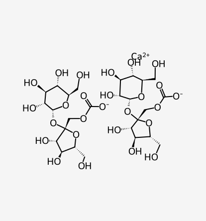 O=C([O-])OC[C@@]1(O[C@H]2O[C@H](CO)[C@@H](O)[C@H](O)[C@H]2O)O[C@H](CO)[C@@H](O)[C@@H]1O.O=C([O-])OC[C@@]1(O[C@H]2O[C@H](CO)[C@@H](O)[C@H](O)[C@H]2O)O[C@H](CO)[C@@H](O)[C@@H]1O.[Ca+2]